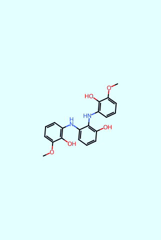 COc1cccc(Nc2cccc(O)c2Nc2cccc(OC)c2O)c1O